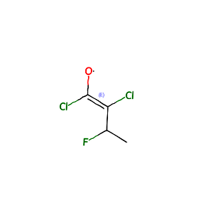 CC(F)/C(Cl)=C(/[O])Cl